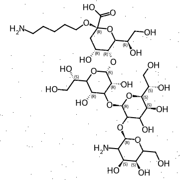 NCCCCCO[C@]1(C(=O)O)C[C@@H](O)[C@@H](O[C@H]2OC([C@@H](O)CO)[C@@H](O)C(O[C@H]3O[C@@H]([C@@H](O)CO)[C@@H](O)C(O)C3O[C@H]3OC(CO)[C@@H](O)[C@@H](O)C3N)[C@H]2O)C([C@H](O)CO)O1